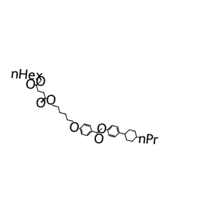 CCCCCCOC(=O)CCC(=O)OCCCCCCOc1ccc(C(=O)Oc2ccc(C3CCC(CCC)CC3)cc2)cc1